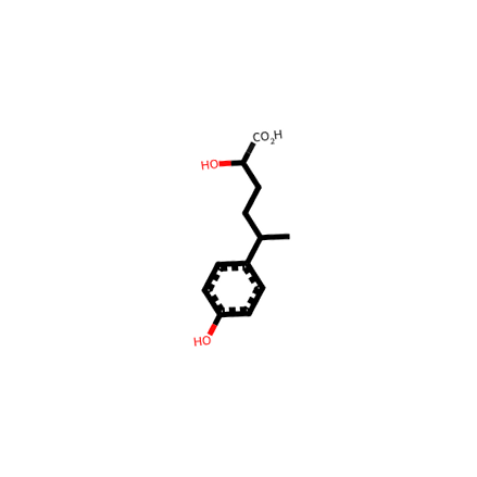 CC(CCC(O)C(=O)O)c1ccc(O)cc1